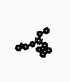 c1ccc(-c2cccc(-c3nc(-c4ccc(-c5ccc6c(c5)sc5ccccc56)cc4)nc(-c4cccc5c4-c4ccccc4C54c5ccccc5-c5ccccc54)n3)c2)cc1